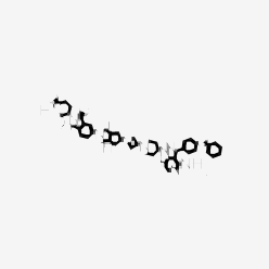 Nc1ncnc2c1c(-c1ccc(Oc3ccccc3)cc1)nn2C1CCN(C2CN(C3C[C@@H]4CN(c5ccc6c(c5)C(=O)N(C5CCC(=O)NC5=O)C6=O)C[C@@H]4C3)C2)CC1